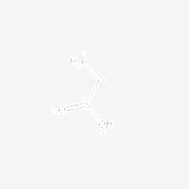 C[CH]S(=O)O